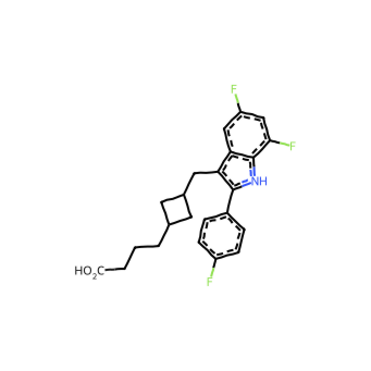 O=C(O)CCCC1CC(Cc2c(-c3ccc(F)cc3)[nH]c3c(F)cc(F)cc23)C1